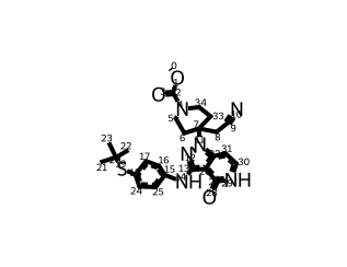 COC(=O)N1CCC(CC#N)(n2nc(Nc3ccc(SC(C)(C)C)cc3)c3c(=O)[nH]ccc32)CC1